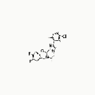 Cc1cnc(Cl)nc1-c1cn2c(n1)C(=O)N(Cc1ccc(F)c(F)c1)[C@@H](C)C2